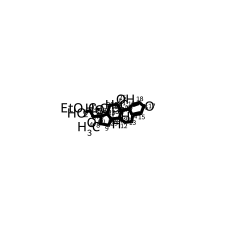 CCOC(=O)O[C@]1(C(=O)CO)[C@H](C)C[C@H]2[C@@H]3CCC4=CC(=O)C=C[C@]4(C)[C@@]3(F)[C@@H](O)C[C@@]21C